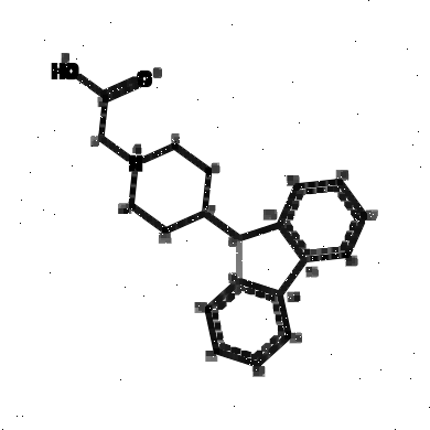 O=C(O)CN1CCC(C2c3ccccc3-c3ccccc32)CC1